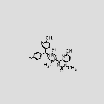 CC[C@@H]1CN(c2nc(=O)n(C)c3ccc(C#N)nc23)[C@@H](C)CN1C(c1ccc(F)cc1)c1ccc(C)nc1